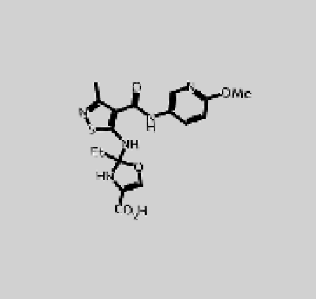 CCC1(Nc2snc(C)c2C(=O)Nc2ccc(OC)nc2)NC(C(=O)O)=CO1